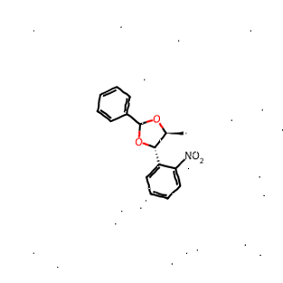 [CH2][C@@H]1OC(c2ccccc2)O[C@H]1c1ccccc1[N+](=O)[O-]